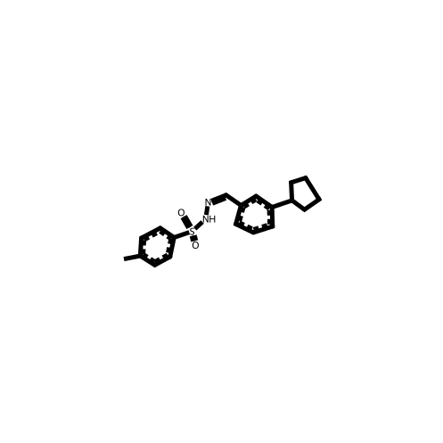 Cc1ccc(S(=O)(=O)N/N=C\c2cccc(C3CCCC3)c2)cc1